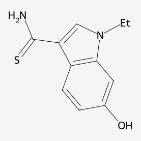 CCn1cc(C(N)=S)c2ccc(O)cc21